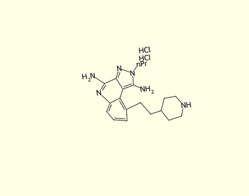 CCCn1nc2c(N)nc3cccc(CCC4CCNCC4)c3c2c1N.Cl.Cl